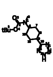 CN(C(=O)OC(C)(C)C)C1CCC(c2nn[nH]n2)CC1